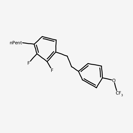 CCCCCc1ccc(CCc2ccc(OC(F)(F)F)cc2)c(F)c1F